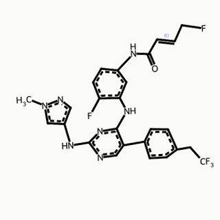 Cn1cc(Nc2ncc(-c3ccc(CC(F)(F)F)cc3)c(Nc3cc(NC(=O)/C=C/CF)ccc3F)n2)cn1